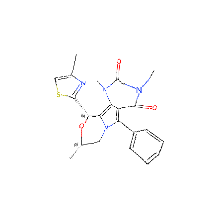 Cc1csc([C@H]2O[C@@H](C)Cn3c(-c4ccccc4)c4c(=O)n(C)c(=O)n(C)c4c32)n1